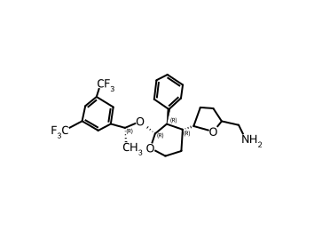 C[C@@H](O[C@H]1OCC[C@@H](C2CCC(CN)O2)[C@@H]1c1ccccc1)c1cc(C(F)(F)F)cc(C(F)(F)F)c1